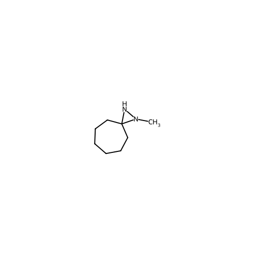 CN1NC12CCCCCC2